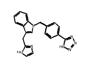 c1ccc2c(c1)c(Cc1ncc[nH]1)cn2Cc1ccc(-c2nnn[nH]2)cc1